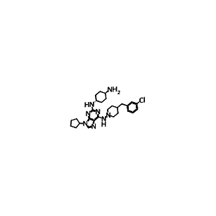 N[C@H]1CC[C@H](Nc2nc(NN3CCC(Cc4cccc(Cl)c4)CC3)c3ncn(C4CCCC4)c3n2)CC1